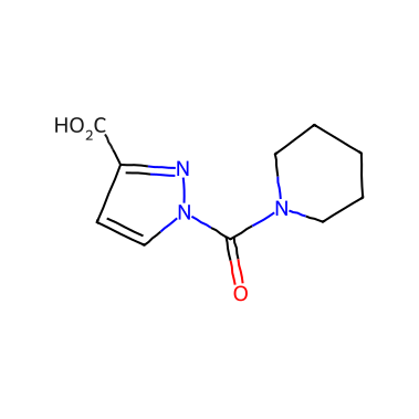 O=C(O)c1ccn(C(=O)N2CCCCC2)n1